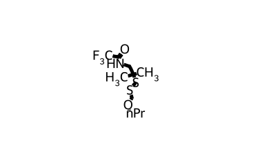 CCCOCSSC(C)(C)CNC(=O)C(F)(F)F